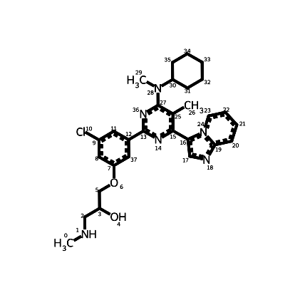 CNCC(O)COc1cc(Cl)cc(-c2nc(-c3cnc4ccccn34)c(C)c(N(C)C3CCCCC3)n2)c1